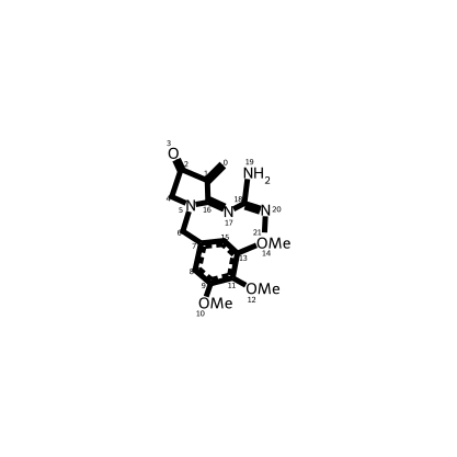 C=C1C(=O)CN(Cc2cc(OC)c(OC)c(OC)c2)/C1=N/C(N)=N\C